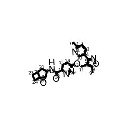 Cc1ccc(-c2noc(C)c2COc2ccc(C(=O)N[C@@H]3CC4CCC45OC35)nn2)cn1